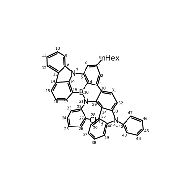 CCCCCCc1cc2c3c(c1)-n1c4ccccc4c4cccc(c41)B3N(c1ccccc1C)c1c-2ccc2c1c1ccccc1n2-c1ccccc1